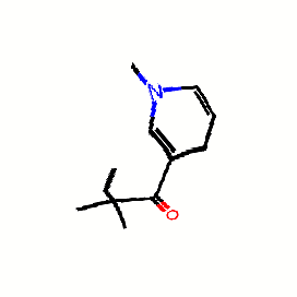 CN1C=CCC(C(=O)C(C)(C)C)=C1